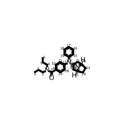 CCCN(CCC)C(=O)c1ccc(N(c2ccccc2)[C@@H]2C[C@H]3CC[C@@H](C2)N3)cc1